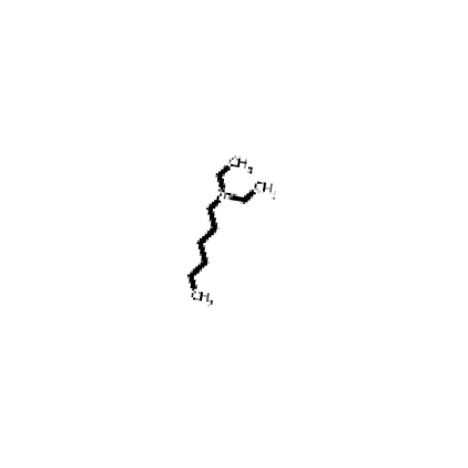 CCCCC[CH2][Zn]([CH2]C)[CH2]C